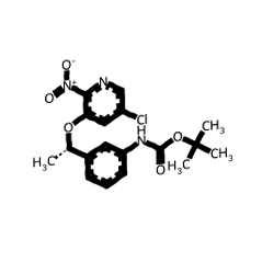 C[C@H](Oc1cc(Cl)cnc1[N+](=O)[O-])c1cccc(NC(=O)OC(C)(C)C)c1